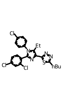 CCCCc1nnc(-c2nc(-c3ccc(Cl)cc3Cl)n(-c3ccc(Cl)cc3)c2CC)s1